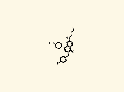 CCCCNc1ncc2c(=O)n(Cc3ccc(F)cc3)cc([C@H]3CC[C@H](O)CC3)c2n1